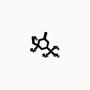 C=C[C@]1(C)CC(=O)C[C@@H]([Si](C)(C)C)C1